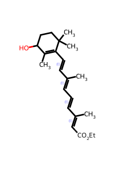 CCOC(=O)/C=C(C)/C=C/C=C(C)/C=C/C1=C(C)C(O)CCC1(C)C